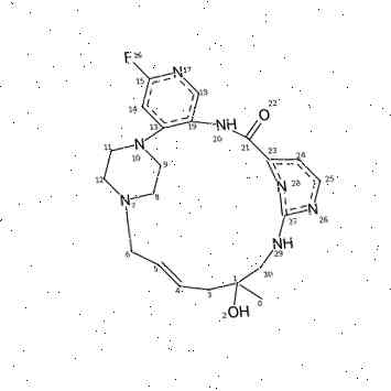 CC1(O)C/C=C/CN2CCN(CC2)c2cc(F)ncc2NC(=O)c2ccnc(n2)NC1